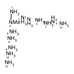 CNN.N.N.N.N.N.N.N.N.N.N.N